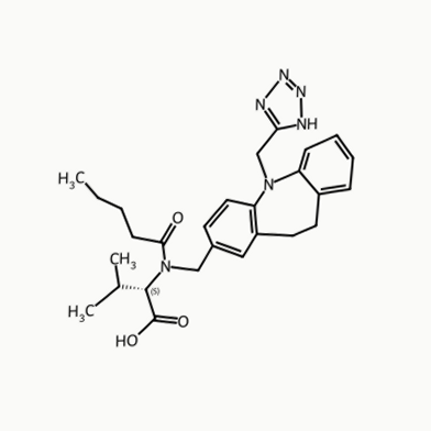 CCCCC(=O)N(Cc1ccc2c(c1)CCc1ccccc1N2Cc1nnn[nH]1)[C@H](C(=O)O)C(C)C